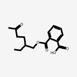 CCC(CCC(C)=O)COC(=O)c1ccccc1C(=O)O